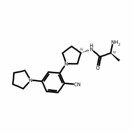 C[C@H](N)C(=O)N[C@H]1CCN(c2cc(N3CCCC3)ccc2C#N)C1